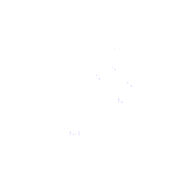 NC(c1ccccc1)c1ccc(-c2ncnc3c2ncn3C2CCCCO2)cc1